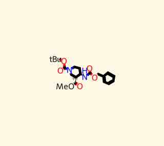 COC(=O)[C@@H]1CN(C(=O)OC(C)(C)C)CC[C@@H]1NC(=O)OCc1ccccc1